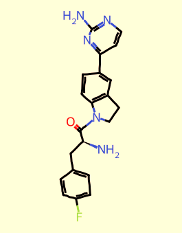 Nc1nccc(-c2ccc3c(c2)CCN3C(=O)[C@@H](N)Cc2ccc(F)cc2)n1